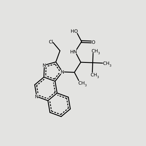 CC(C(NC(=O)O)C(C)(C)C)n1c(CCl)nc2cnc3ccccc3c21